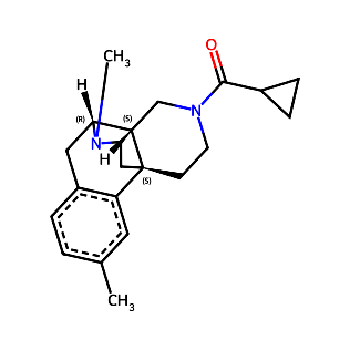 Cc1ccc2c(c1)[C@@]13CCN(C(=O)C4CC4)C[C@H]1[C@@H](C2)N(C)CC3